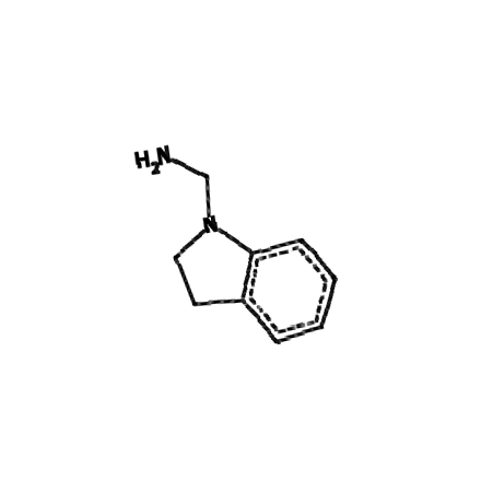 NCN1CCc2ccccc21